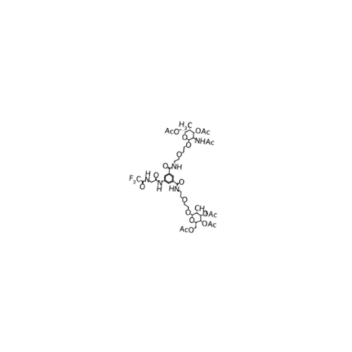 CC(=O)N[C@H]1C(OCCOCCNC(=O)c2cc(NC(=O)CNC(=O)C(F)(F)F)cc(C(=O)NCCOCCOC3O[C@H](COC(C)=O)[C@H](OC(C)=O)[C@H](OC(C)=O)[C@H]3C)c2)O[C@H](COC(C)=O)[C@H](C)[C@@H]1OC(C)=O